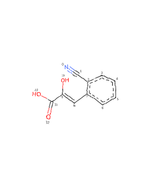 N#Cc1ccccc1C=C(O)C(=O)O